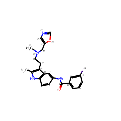 Cc1[nH]c2ccc(NC(=O)c3cccc(I)c3)cc2c1CCN(C)Cc1cnco1